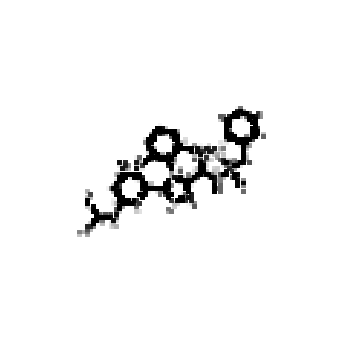 COc1cccc(OC)c1-n1c(C(=O)NS(=O)(=O)Cc2ccccc2)nnc1-c1cccc(OC(F)F)n1